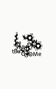 C=CCCc1csc(N[C@H](C(=O)N2C[C@H](Oc3nc4ccccc4nc3-c3cccc(C=C)c3)C[C@H]2C(=O)OC)C(C)(C)C)n1